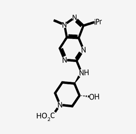 CC(C)c1nn(C)c2cnc(N[C@@H]3CCN(C(=O)O)C[C@H]3O)nc12